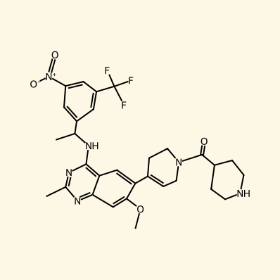 COc1cc2nc(C)nc(NC(C)c3cc([N+](=O)[O-])cc(C(F)(F)F)c3)c2cc1C1=CCN(C(=O)C2CCNCC2)CC1